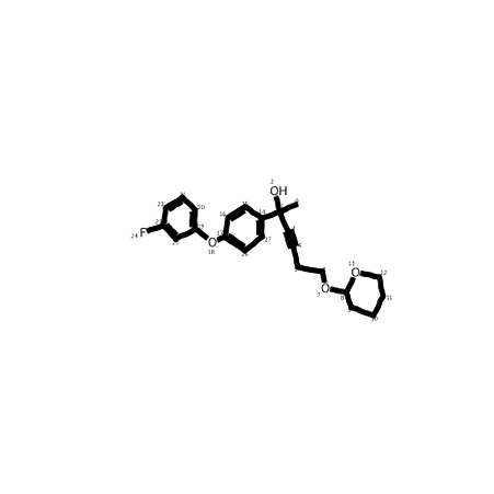 CC(O)(C#CCCOC1CCCCO1)c1ccc(Oc2cccc(F)c2)cc1